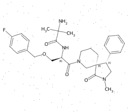 CN1C[C@@H](c2ccccc2)[C@@]2(CCCN(C(=O)[C@@H](COCc3ccc(F)cc3)NC(=O)C(C)(C)N)C2)C1=O